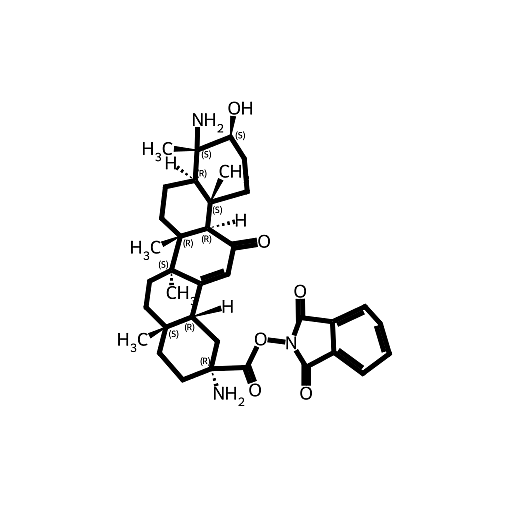 C[C@]12CC[C@](N)(C(=O)ON3C(=O)c4ccccc4C3=O)C[C@H]1C1=CC(=O)[C@@H]3[C@@]4(C)CC[C@H](O)[C@@](C)(N)[C@@H]4CC[C@@]3(C)[C@]1(C)CC2